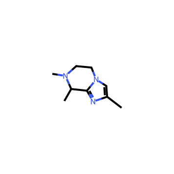 Cc1cn2c(n1)C(C)N(C)CC2